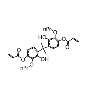 C=CC(=O)Oc1ccc(C(C)(C)c2ccc(OC(=O)C=C)c(OCCC)c2O)c(O)c1OCCC